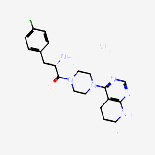 C[C@@H]1CCc2c(ncnc2N2CCN(C(=O)[C@H](N)Cc3ccc(Cl)cc3)CC2)N1.Cl.Cl